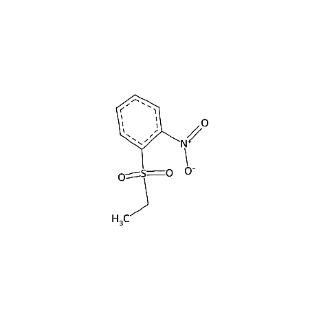 CCS(=O)(=O)c1ccccc1[N+](=O)[O-]